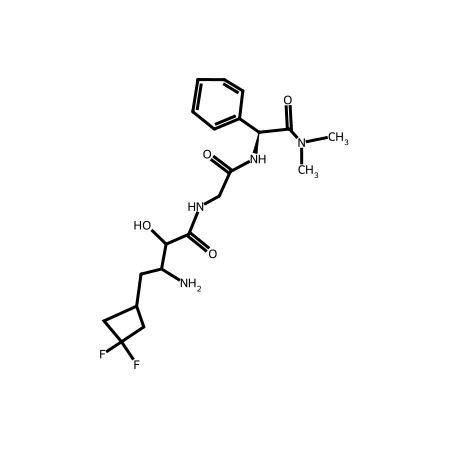 CN(C)C(=O)[C@@H](NC(=O)CNC(=O)C(O)C(N)CC1CC(F)(F)C1)c1ccccc1